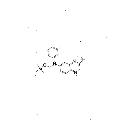 [2H]c1cnc2ccc(N(CO[Si](C)(C)C)c3ccccc3)cc2n1